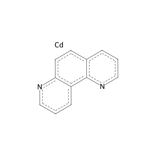 [Cd].c1cnc2c(c1)ccc1ncccc12